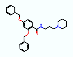 O=C(NCCCN1CCCCC1)c1ccc(OCc2ccccc2)cc1OCc1ccccc1